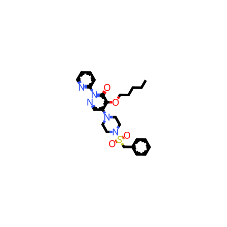 CCCCCOc1c(N2CCN(S(=O)(=O)Cc3ccccc3)CC2)cnn(-c2ccccn2)c1=O